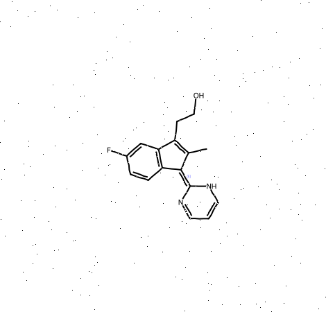 CC1=C(CCO)c2cc(F)ccc2/C1=C1\N=CC=CN1